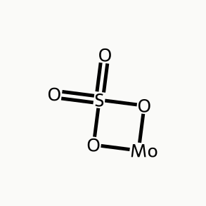 O=S1(=O)[O][Mo][O]1